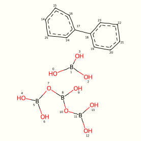 OB(O)O.OB(O)OB(O)OB(O)O.c1ccc(-c2ccccc2)cc1